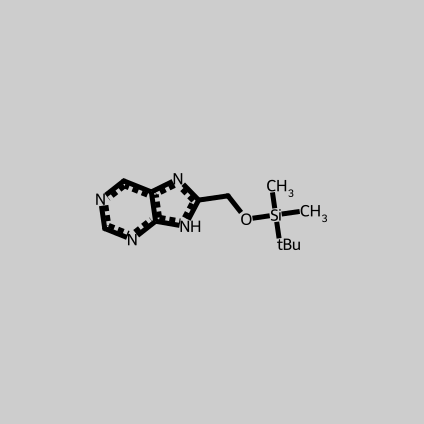 CC(C)(C)[Si](C)(C)OCc1nc2cncnc2[nH]1